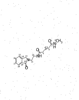 CNC(=O)CSCC(=O)NCCN1Cc2ccccc2C1=O